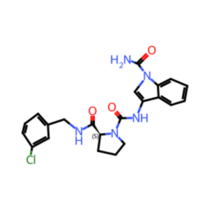 NC(=O)n1cc(NC(=O)N2CCC[C@H]2C(=O)NCc2cccc(Cl)c2)c2ccccc21